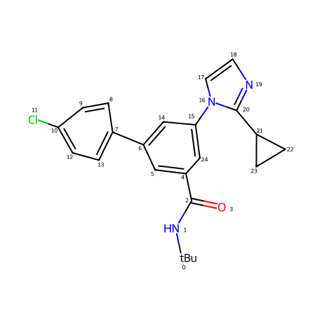 CC(C)(C)NC(=O)c1cc(-c2ccc(Cl)cc2)cc(-n2ccnc2C2CC2)c1